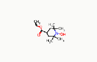 C=COC(=O)C1CC(C)(C)N(O)C(C)(C)C1